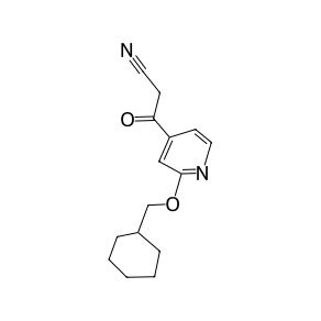 N#CCC(=O)c1ccnc(OCC2CCCCC2)c1